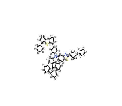 c1ccc(-c2ccc(-c3nc4cc(N(c5ccc(-c6cccc7c6sc6c(-c8ccccc8)cccc67)cc5)c5ccc6c(c5)C(c5ccccc5)(c5ccccc5)c5ccccc5-6)ccc4s3)cc2)cc1